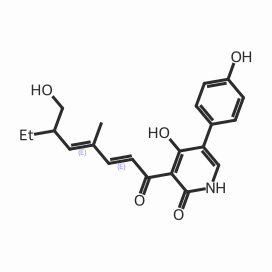 CCC(/C=C(C)/C=C/C(=O)c1c(O)c(-c2ccc(O)cc2)c[nH]c1=O)CO